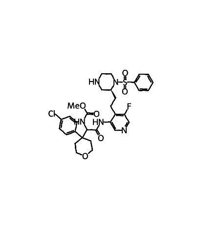 COC(=O)NC(C(=O)Nc1cncc(F)c1CC[C@H]1CNCCN1S(=O)(=O)c1ccccc1)C1(c2ccc(Cl)cc2)CCOCC1